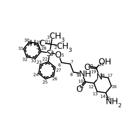 CC(C)(C)[Si](OCCCNC(=O)C1CC(N)CCN1C(=O)O)(c1ccccc1)c1ccccc1